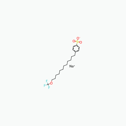 O=S(=O)([O-])c1ccc(CCCCCCCCCCCCOC(F)(F)F)cc1.[Na+]